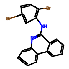 Brc1ccc(Br)c(Nc2nc3ccccc3c3ccccc23)c1